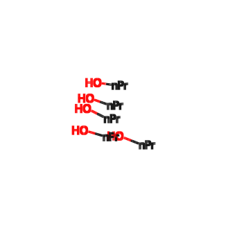 CCCO.CCCO.CCCO.CCCO.CCCO